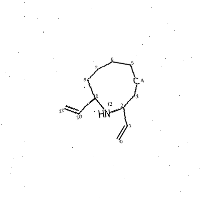 C=CC1CCCCCCC(C=C)N1